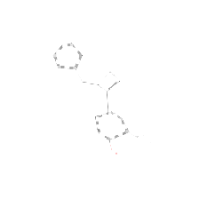 Oc1ccc(C2=CCC2Cc2ccccc2)cc1C(F)(F)F